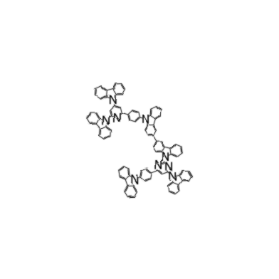 c1ccc2c(c1)c1ccccc1n2-c1ccc(-c2cc(-n3c4ccccc4c4ccccc43)nc(-n3c4ccccc4c4cc(-c5ccc6c(c5)c5ccccc5n6-c5ccc(-c6cc(-n7c8ccccc8c8ccccc87)cc(-n7c8ccccc8c8ccccc87)n6)cc5)ccc43)n2)cc1